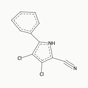 N#Cc1[nH]c(-c2ccccc2)c(Cl)c1Cl